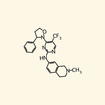 CN1CCc2ccc(Nc3ncc(C(F)(F)F)c(N4OCCC4c4ccccc4)n3)cc2C1